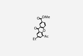 CCc1cc(C(C)=O)c2oc3ccc(C(=O)OC)cc3c(=O)c2c1